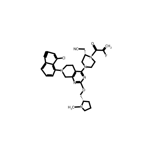 C=C(F)C(=O)N1CCN(c2nc(OC[C@@H]3CCCN3C)nc3c2CCN(c2cccc4c#ccc(Cl)c24)C3)C[C@@H]1CC#N